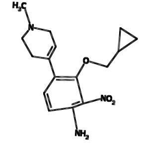 CN1CC=C(c2ccc(N)c([N+](=O)[O-])c2OCC2CC2)CC1